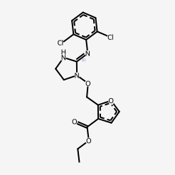 CCOC(=O)c1ccoc1CON1CCN/C1=N\c1c(Cl)cccc1Cl